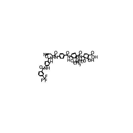 COc1c(NC(=O)c2ccc(NC(=O)c3ccc(NC(=O)C(CC#N)NC(=O)c4ccc(NC(=O)c5cccc(C(F)(F)F)c5)cc4)cc3)c(OC)c2O)ccc(C(=O)O)c1O